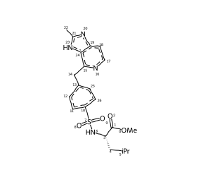 COC(=O)[C@H](CC(C)C)NS(=O)(=O)c1ccc(Cc2nccc3nc(C)[nH]c23)cc1